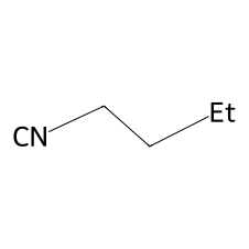 [C-]#[N+]CCC[CH2]